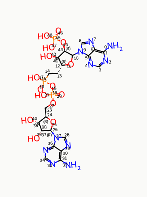 Nc1ncnc2c1ncn2C1O[C@H](CCP(=O)(O)OP(=O)(O)OC[C@H]2O[C@@H](n3cnc4c(N)ncnc43)[C@H](O)[C@@H]2O)[C@@H](O)[C@H]1OP(=O)(O)O